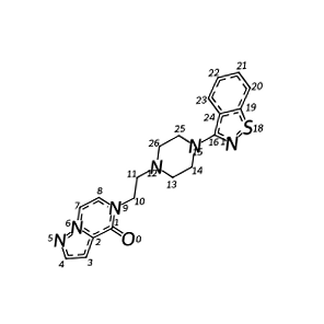 O=c1c2ccnn2ccn1CCN1CCN(c2nsc3ccccc23)CC1